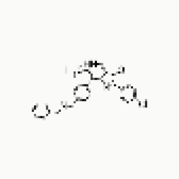 Cc1[nH]cc2c(=O)n(-c3ccc(Cl)cc3)nc-2c1-c1ccc(CNCc2ccccc2)cc1